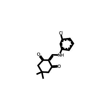 CC1(C)CC(=O)C(=CNc2cccc(Cl)c2)C(=O)C1